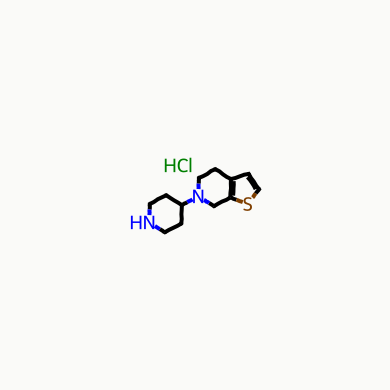 Cl.c1cc2c(s1)CN(C1CCNCC1)CC2